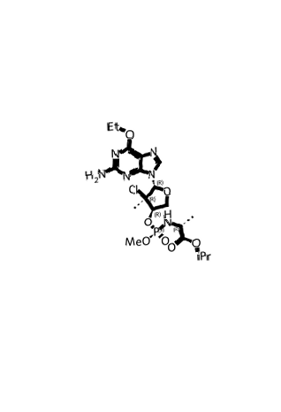 CCOc1nc(N)nc2c1ncn2[C@@H]1OC[C@@H](O[P@](=O)(N[C@H](C)C(=O)OC(C)C)OC)[C@@]1(C)Cl